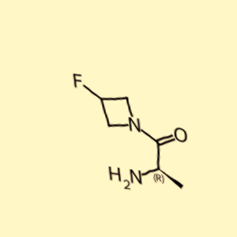 C[C@@H](N)C(=O)N1CC(F)C1